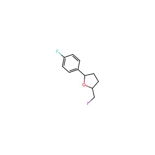 Fc1ccc(C2CCC(CI)O2)cc1